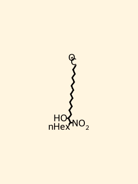 CCCCCCC(C(O)CCCCCCCCCCCCC=C=O)[N+](=O)[O-]